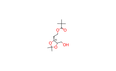 CC1(C)OC(CO)[C@H](CCOC(=O)C(C)(C)C)O1